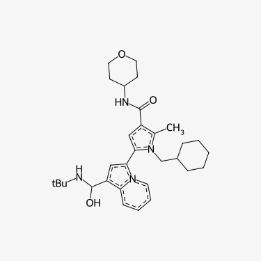 Cc1c(C(=O)NC2CCOCC2)cc(-c2cc(C(O)NC(C)(C)C)c3ccccn23)n1CC1CCCCC1